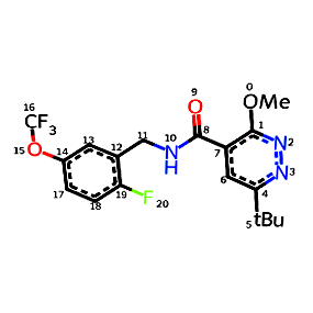 COc1nnc(C(C)(C)C)cc1C(=O)NCc1cc(OC(F)(F)F)ccc1F